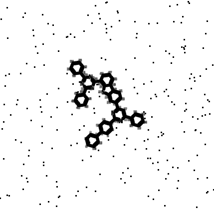 c1ccc(-c2ccc(-c3nc(-c4ccccc4)cc(-c4ccc5c(c4)sc4c(-c6nc(-c7ccccc7)nc(-c7ccccc7)n6)cccc45)n3)cc2)cc1